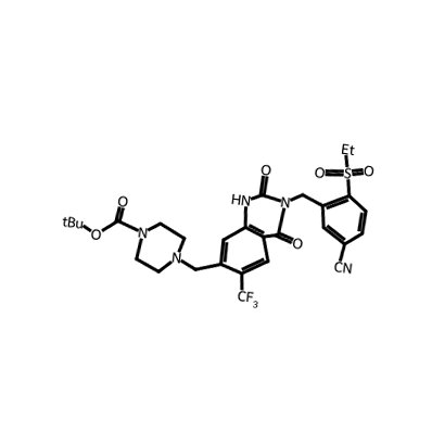 CCS(=O)(=O)c1ccc(C#N)cc1Cn1c(=O)[nH]c2cc(CN3CCN(C(=O)OC(C)(C)C)CC3)c(C(F)(F)F)cc2c1=O